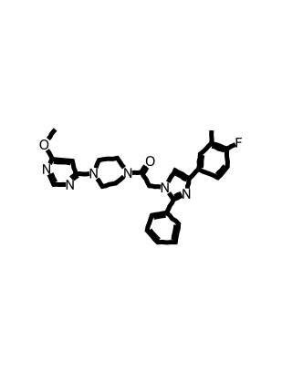 COc1cc(N2CCN(C(=O)Cn3cc(-c4ccc(F)c(C)c4)nc3-c3ccccc3)CC2)ncn1